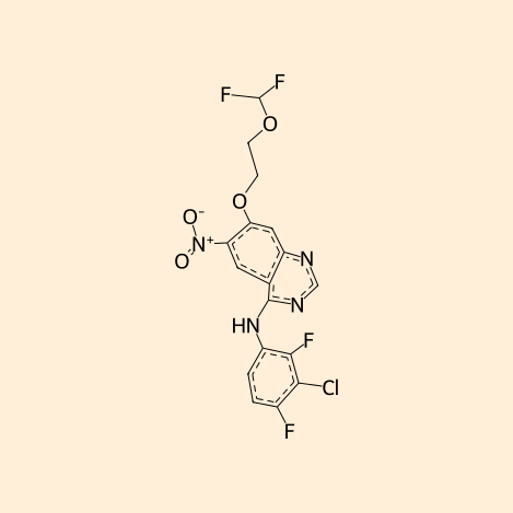 O=[N+]([O-])c1cc2c(Nc3ccc(F)c(Cl)c3F)ncnc2cc1OCCOC(F)F